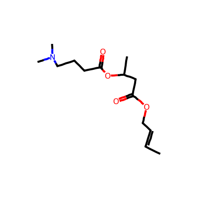 C/C=C/COC(=O)CC(C)OC(=O)CCCN(C)C